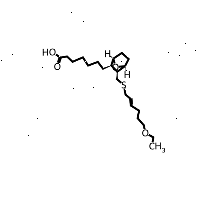 CCOCCCC=CCSC[C@H]1[C@@H](CCCCCCC(=O)O)[C@H]2CC[C@@H]1O2